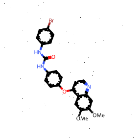 COc1cc2nccc(Oc3ccc(NC(=O)Nc4ccc(Br)cc4)cc3)c2cc1OC